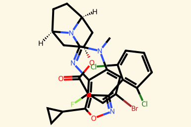 Cn1c(N2[C@@H]3CC[C@H]2C[C@H](OC(=O)c2c(-c4c(Cl)cccc4Cl)noc2C2CC2)C3)nc2c(F)cc(Br)cc21